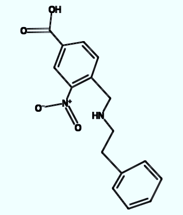 O=C(O)c1ccc(CNCCc2ccccc2)c([N+](=O)[O-])c1